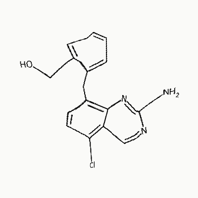 Nc1ncc2c(Cl)ccc(-c3ccccc3CO)c2n1